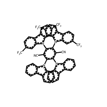 N#Cc1c(-n2c3ccccc3c3ccccc32)c(-n2c3ccccc3c3ccccc32)c(C#N)c(-n2c3cc(C(F)(F)F)ccc3c3ccc(C(F)(F)F)cc32)c1-n1c2cc(C(F)(F)F)ccc2c2ccc(C(F)(F)F)cc21